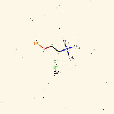 C[N+](C)(C)CCO[PH-].[Ca+2].[Cl-].[Cl-]